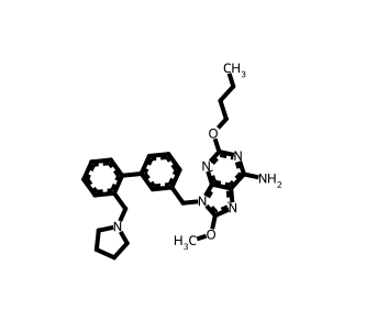 CCCCOc1nc(N)c2nc(OC)n(Cc3cccc(-c4ccccc4CN4CCCC4)c3)c2n1